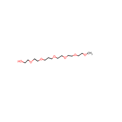 COCCOCCOCCOCCCOCCOCCO